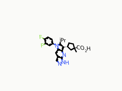 CC(C)c1c([C@@H]2CC[C@@](C)(C(=O)O)C2)c2nc3[nH]ncc3cc2n1-c1ccc(F)c(F)c1